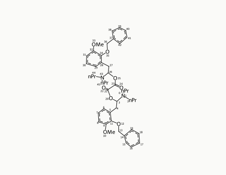 CCCN(CCC)C(Cc1cccc(OC)c1OCc1ccccc1)OC(=O)C(=O)OC(Cc1cccc(OC)c1OCc1ccccc1)N(CCC)CCC